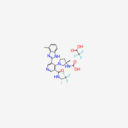 Cc1cccc2[nH]c(-c3cncc(C(=O)N[C@@H](C)C(F)(F)F)c3N3CC[C@](C)(NC(=O)O)C3)nc12.O=C(O)C(F)(F)F